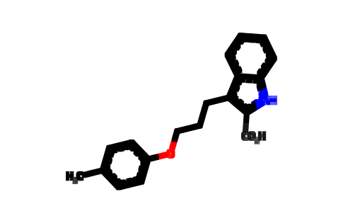 Cc1ccc(OCCCc2c(C(=O)O)[nH]c3ccccc23)cc1